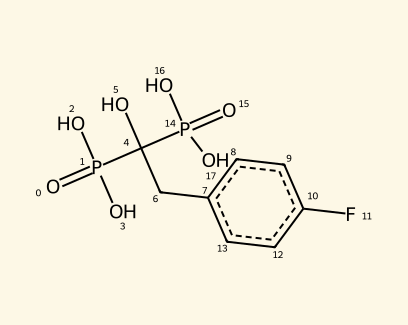 O=P(O)(O)C(O)(Cc1ccc(F)cc1)P(=O)(O)O